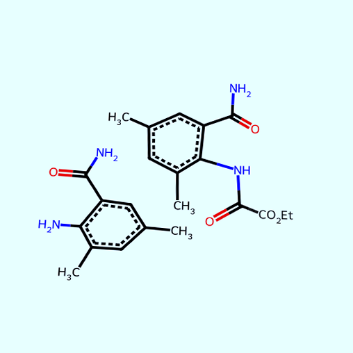 CCOC(=O)C(=O)Nc1c(C)cc(C)cc1C(N)=O.Cc1cc(C)c(N)c(C(N)=O)c1